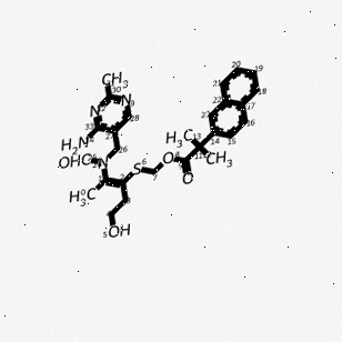 C/C(=C(\CCO)SCOC(=O)C(C)(C)c1ccc2ccccc2c1)N(C=O)Cc1cnc(C)nc1N